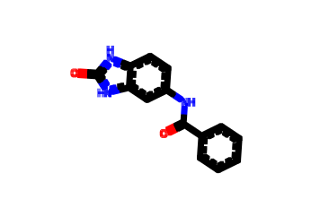 O=C(Nc1ccc2[nH]c(=O)[nH]c2c1)c1ccccc1